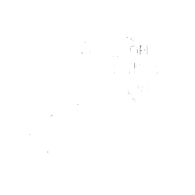 CC(C)(C(=O)C#Cc1ccccc1)P(=O)(O)O